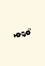 COc1cccc(N2CCN(c3ccc(C(C)C)cc3)CC2(C)C)c1